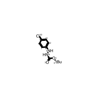 CC(C)(C)OC(=O)NNc1ccc(Cl)cc1